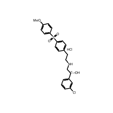 COc1ccc(S(=O)(=O)c2ccc(CCNC[C@H](O)c3cccc(Cl)c3)cc2)cc1.Cl